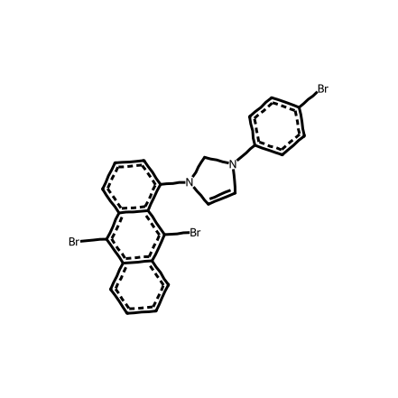 Brc1ccc(N2C=CN(c3cccc4c(Br)c5ccccc5c(Br)c34)C2)cc1